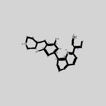 C/C=C(\C=N)c1ccc2cccc(-c3cc(F)c(CC4CCOCC4)c(F)c3)c2n1